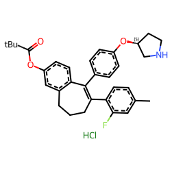 Cc1ccc(C2=C(c3ccc(O[C@H]4CCNC4)cc3)c3ccc(OC(=O)C(C)(C)C)cc3CCC2)c(F)c1.Cl